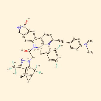 CN(C)c1ccc(C#Cc2ccc(-c3ccc4c(c3)C(=O)NC4)c([C@H](Cc3cc(F)cc(F)c3)NC(=O)Cn3nc(C(F)(F)F)c4c3C(F)(F)C3C[C@H]43)n2)cc1